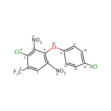 O=[N+]([O-])c1cc(C(F)(F)F)c(Cl)c([N+](=O)[O-])c1Oc1ccc(Cl)cc1